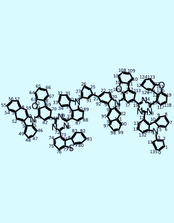 c1ccc(-n2c3ccccc3c3c(-c4nc(-c5cc(-n6c7ccc(-c8cccc(-n9c%10ccccc%10c%10c(-c%11nc(-c%12cc(-n%13c%14ccccc%14c%14cc%15ccccc%15cc%14%13)c%13oc%14ccccc%14c%13c%12)nc(-c%12cccc%13sc%14ccccc%14c%12%13)n%11)cccc%109)c8)cc7c7cc8ccccc8cc76)c6oc7ccccc7c6c5)nc(-c5cccc6oc7ccccc7c56)n4)cccc32)cc1